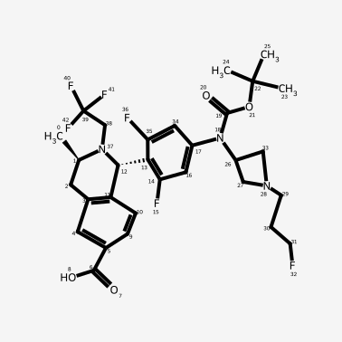 C[C@@H]1Cc2cc(C(=O)O)ccc2[C@@H](c2c(F)cc(N(C(=O)OC(C)(C)C)C3CN(CCCF)C3)cc2F)N1CC(F)(F)F